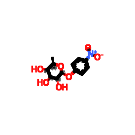 C[C@H]1O[C@@H](Oc2ccc([N+](=O)[O-])cc2)[C@H](O)[C@@H](O)[C@H]1O